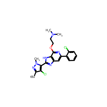 CN(C)CCOc1nc(-c2ccccc2Cl)cc2nc(-c3c(Cl)c(C(C)(C)C)nn3C)[nH]c12